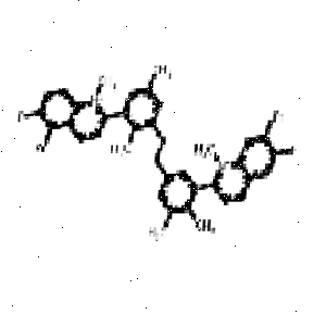 Cc1cc(CCc2cc(C)c(C)c(-c3ccc4cc(F)c(C(C)C)cc4[n+]3C)c2)c(C)c(-c2ccc3c(C(C)C)c(F)ccc3[n+]2C)c1